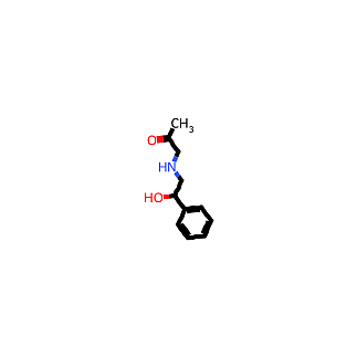 CC(=O)CNCC(O)c1ccccc1